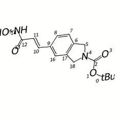 CC(C)(C)OC(=O)N1Cc2ccc(/C=C/C(=O)NO)cc2C1